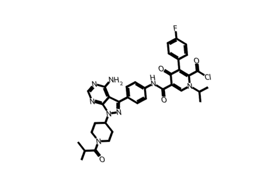 CC(C)C(=O)N1CCC(n2nc(-c3ccc(NC(=O)c4cn(C(C)C)c(C(=O)Cl)c(-c5ccc(F)cc5)c4=O)cc3)c3c(N)ncnc32)CC1